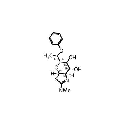 CNC1=N[C@@H]2[C@@H](O)[C@H](O)[C@@H]([C@@H](C)Oc3ccccc3)O[C@@H]2S1